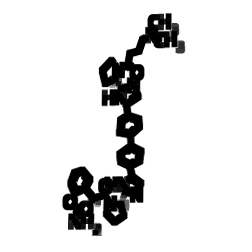 CN(C)CCCC(=O)N1CCC[C@H]1c1ncc(-c2ccc(-c3ccc(-c4cnc([C@@H]5CCCN5C(=O)[C@H](OC(N)=O)c5ccccc5)[nH]4)cc3)cc2)[nH]1